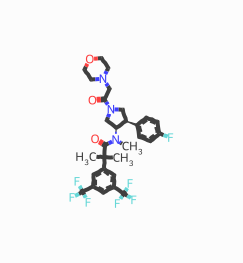 CN(C(=O)C(C)(C)c1cc(C(F)(F)F)cc(C(F)(F)F)c1)[C@@H]1CN(C(=O)CN2CCOCC2)C[C@H]1c1ccc(F)cc1